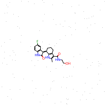 Cc1[nH]c2c(c1C(=O)NCCO)CCC/C2=C1/C(=O)Nc2ccc(F)cc21